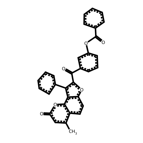 Cc1cc(=O)oc2c1ccc1oc(C(=O)c3cccc(OC(=O)c4ccccc4)c3)c(-c3ccccc3)c12